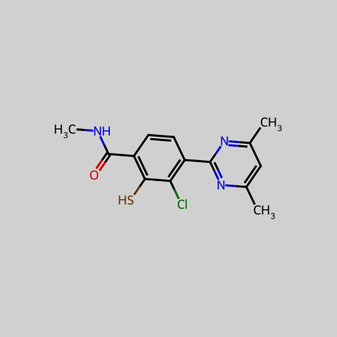 CNC(=O)c1ccc(-c2nc(C)cc(C)n2)c(Cl)c1S